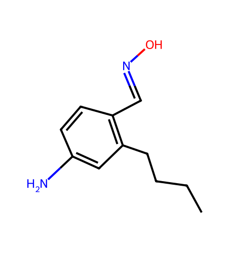 CCCCc1cc(N)ccc1C=NO